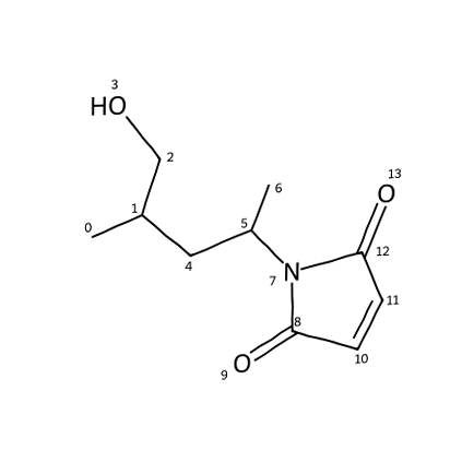 CC(CO)CC(C)N1C(=O)C=CC1=O